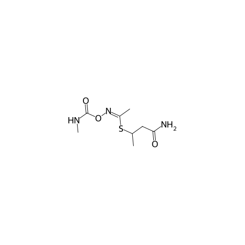 CNC(=O)ON=C(C)SC(C)CC(N)=O